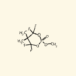 COP1(=O)OC(F)(F)C(C)(C)C(F)(F)O1